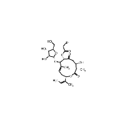 C/C=C(/C)[C@H]1C/C=C(\C)[C@@H](O[C@H]2O[C@H](CO)[C@@H](O)[C@@H]2O)[C@H](OC(=O)CC(C)C)C(=O)C[C@@H](O)[C@H](C)C(=O)O1